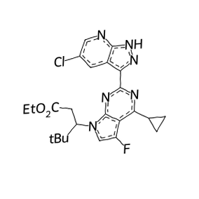 CCOC(=O)CC(n1cc(F)c2c(C3CC3)nc(-c3n[nH]c4ncc(Cl)cc34)nc21)C(C)(C)C